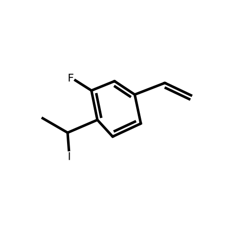 C=Cc1ccc(C(C)I)c(F)c1